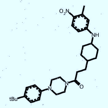 Cc1cc(NC2CCC(CCC(=O)N3CCN(c4ccc(C(C)(C)C)cc4)CC3)CC2)ccc1[N+](=O)[O-]